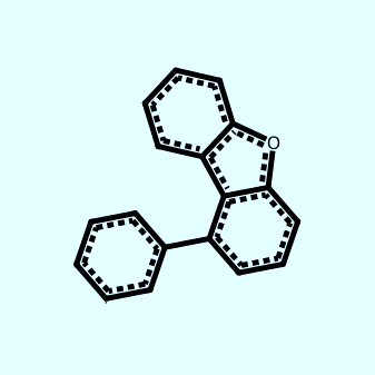 [c]1cccc(-c2cccc3oc4ccccc4c23)c1